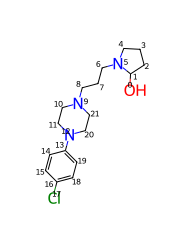 OC1CCCN1CCCN1CCN(c2ccc(Cl)cc2)CC1